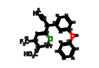 C#CC(C(Cl)=CC(C(C(=O)O)C(C)C)C(F)(F)F)c1cccc(Oc2ccccc2)c1